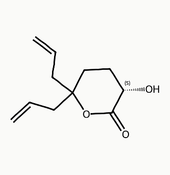 C=CCC1(CC=C)CC[C@H](O)C(=O)O1